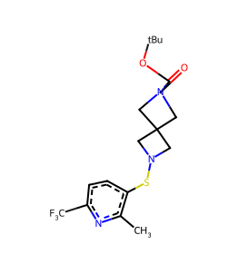 Cc1nc(C(F)(F)F)ccc1SN1CC2(C1)CN(C(=O)OC(C)(C)C)C2